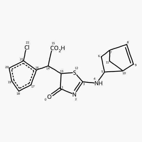 O=C1N=C(NC2CC3C=CC2C3)SC1C(C(=O)O)c1ccccc1Cl